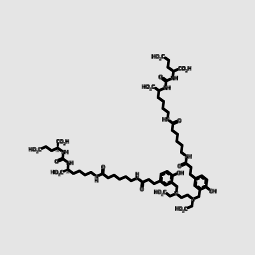 O=C(O)CCC(NC(=O)NC(CCCCNC(=O)CCCCCNC(=O)CCc1ccc(O)c(CN(CCN(CC(=O)O)Cc2cc(CCC(=O)NCCCCCC(=O)NCCCC[C@H](NC(=O)N[C@@H](CCC(=O)O)C(=O)O)C(=O)O)ccc2O)CC(=O)O)c1)C(=O)O)C(=O)O